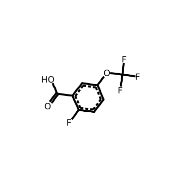 O=C(O)c1cc(OC(F)(F)F)ccc1F